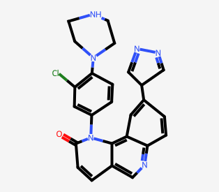 O=c1ccc2cnc3ccc(C4C=NN=C4)cc3c2n1-c1ccc(N2CCNCC2)c(Cl)c1